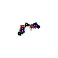 C=C1C(=O)N2c3ccccc3C[C@H]2C=N/C1=C/C(OCc1cccc(COc2cc3c(cc2OC)C(=O)N2c4ccccc4C[C@H]2C=N3)c1)=C(\C)OC